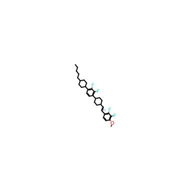 CCCCCC1CCC(c2ccc(C3CCC(/C=C/c4ccc(OC)c(F)c4F)CC3)c(F)c2F)CC1